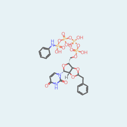 O=c1ccn([C@@H]2O[C@H](COP(=O)(O)OP(=O)(O)OP(=O)(O)OP(=O)(O)Nc3ccccc3)C3OC(Cc4ccccc4)O[C@@H]32)c(=O)[nH]1